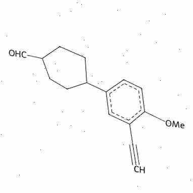 C#Cc1cc(C2CCC(C=O)CC2)ccc1OC